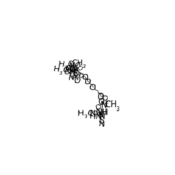 C[C@@H](NC(=O)c1cccc(NC2(c3nnc(-c4ccncc4)[nH]3)CCN(C)CC2)c1)c1cccc(OCCCCCOCCCOCCOc2cccc(C(=O)c3cnc([C@@H]4CCCN4C(=O)[C@@H](NC(=O)[C@H](C)N(C)C(=O)OC(C)(C)C)C4CCCCC4)s3)c2)c1